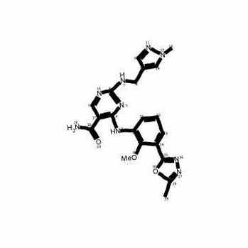 COc1c(Nc2nc(NCc3cnn(C)c3)ncc2C(N)=O)cccc1-c1nnc(C)o1